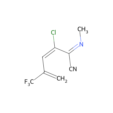 C=C(/C=C(Cl)\C(C#N)=N/C)C(F)(F)F